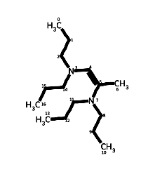 CCCN(C=C(C)N(CCC)CCC)CCC